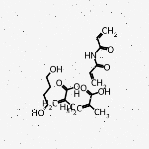 C=C(C)C(=O)O.C=C(C)C(=O)O.C=CC(=O)NC(=O)C=C.OCCCCO